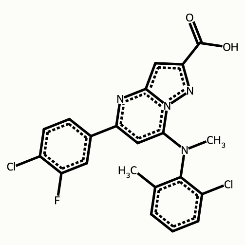 Cc1cccc(Cl)c1N(C)c1cc(-c2ccc(Cl)c(F)c2)nc2cc(C(=O)O)nn12